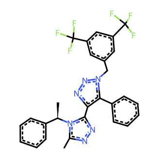 Cc1nnc(-c2nnn(Cc3cc(C(F)(F)F)cc(C(F)(F)F)c3)c2-c2ccccc2)n1[C@H](C)c1ccccc1